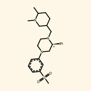 CC(C)[C@H]1CN(c2cccc(S(C)(=O)=O)c2)CCN1CC1CCC(C)N(C)C1